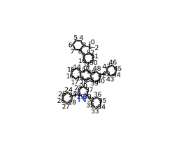 CC1(C)c2ccccc2-c2cc(-c3c4ccccc4c(-c4cc(-c5ccccc5)nc(-c5ccccc5)c4)c4ccc(-c5ccccc5)cc34)ccc21